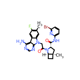 Cc1cc2c(cc1F)c1c(N)ncnc1n2CC(=O)N1[C@H](C(=O)Nc2cccc(Br)n2)C[C@@]2(C)CC[C@@H]12